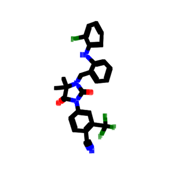 CC1(C)C(=O)N(c2ccc(C#N)c(C(F)(F)F)c2)C(=O)N1Cc1ccccc1Nc1ccccc1F